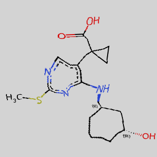 CSc1ncc(C2(C(=O)O)CC2)c(N[C@@H]2CCC[C@@H](O)C2)n1